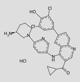 Cl.N[C@H]1CCCN(c2ccc(Nc3c(C(=O)C4CC4)cnc4ccc(-c5cc(Cl)c(O)c(Cl)c5)cc34)cn2)C1